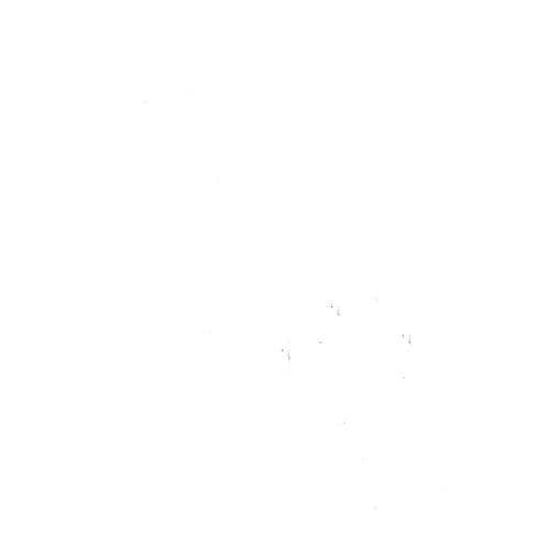 COc1cc2ncnc(Nc3ccc(Sc4ccccc4)cc3)c2cc1OC